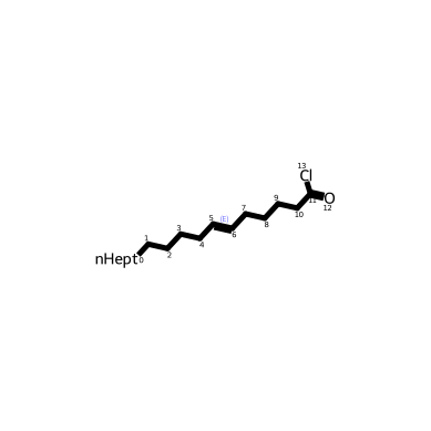 CCCCCCCCCCC/C=C/CCCCC(=O)Cl